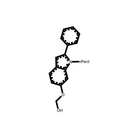 CCCCCn1c(-c2ccccc2)cc2ccc(OCO)cc21